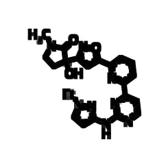 CCn1ccc(Nc2nccc(-c3cccc(-c4cc([C@]5(O)CCN(C)C5=O)no4)n3)n2)n1